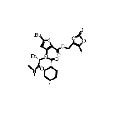 CC[C@@H](C(=O)N(C)C)N(c1cc(C(C)(C)C)sc1C(=O)OCc1oc(=O)oc1C)C(=O)[C@H]1CC[C@H](C)CC1